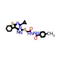 Cc1ccc(C(=O)NNC(=O)CSc2nnc3c4c5c(sc4nc(C4CC4)n23)CCCC5)cc1